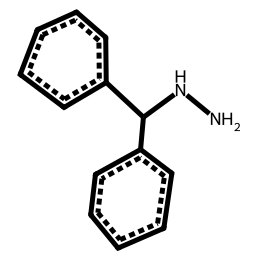 NNC(c1ccccc1)c1ccccc1